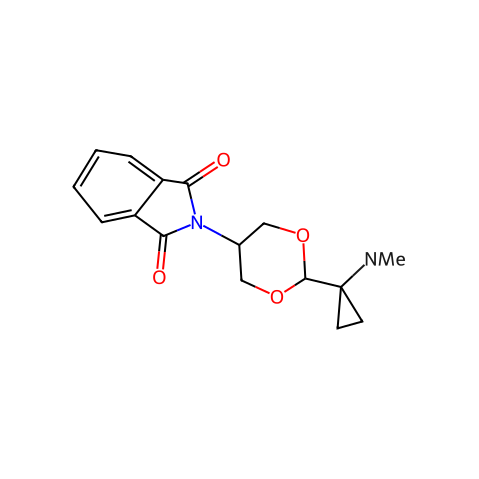 CNC1(C2OCC(N3C(=O)c4ccccc4C3=O)CO2)CC1